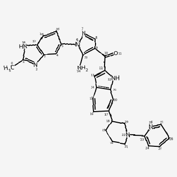 Cc1nc2cc(-n3ncc(C(=O)c4cc5ccc(C6CCCN(c7ccccn7)C6)cc5[nH]4)c3N)ccc2[nH]1